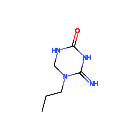 CCCN1CNC(=O)NC1=N